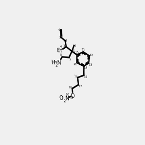 C=CCC(CC)C(C)(CCN)c1cccc(CCCCO[N+](=O)[O-])c1